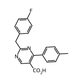 Cc1ccc(-c2nc(Cc3ccc(F)cc3)ncc2C(=O)O)cc1